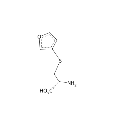 N[C@@H](CSc1ccoc1)C(=O)O